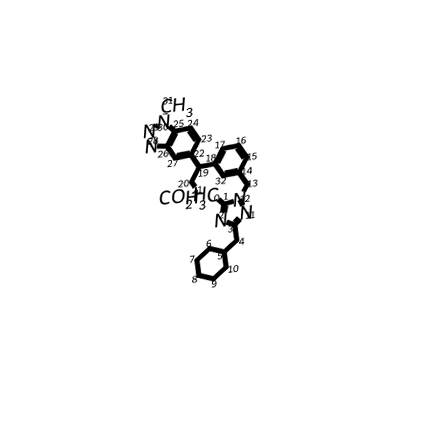 Cc1nc(CC2CCCCC2)nn1Cc1cccc(C(CC(=O)O)c2ccc3c(c2)nnn3C)c1